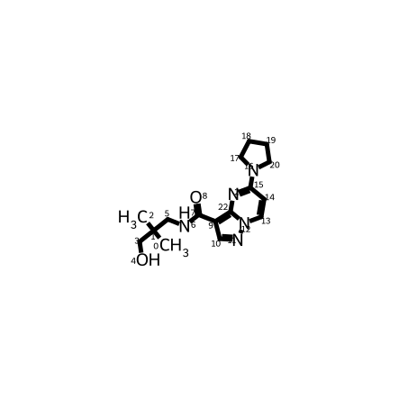 CC(C)(CO)CNC(=O)c1cnn2ccc(N3CCCC3)nc12